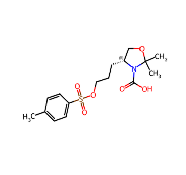 Cc1ccc(S(=O)(=O)OCCC[C@@H]2COC(C)(C)N2C(=O)O)cc1